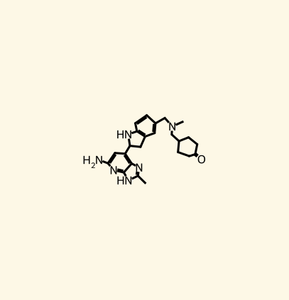 Cc1nc2c(C3Cc4cc(CN(C)CC5CCC(=O)CC5)ccc4N3)cc(N)nc2[nH]1